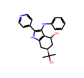 CC(C)(O)[C@H]1Cc2[nH]c(-c3ccncc3)c(Nc3ccccc3)c2C(O)C1